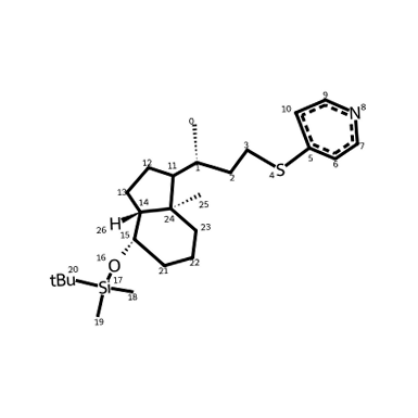 C[C@H](CCSc1ccncc1)C1CC[C@H]2[C@@H](O[Si](C)(C)C(C)(C)C)CCC[C@]12C